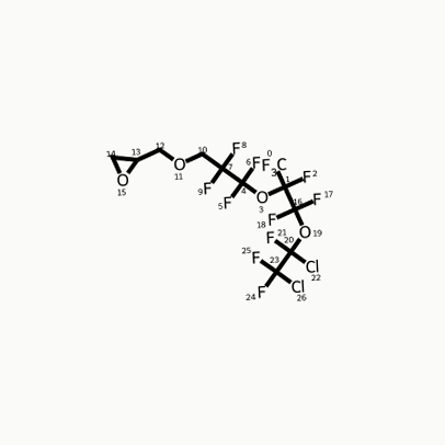 FC(F)(F)C(F)(OC(F)(F)C(F)(F)COCC1CO1)C(F)(F)OC(F)(Cl)C(F)(F)Cl